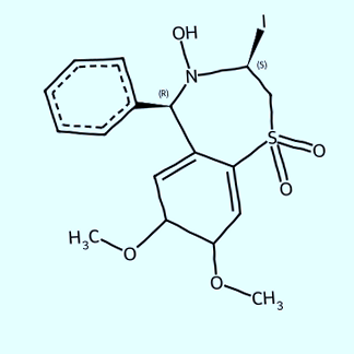 COC1C=C2C(=CC1OC)S(=O)(=O)C[C@H](I)N(O)[C@@H]2c1ccccc1